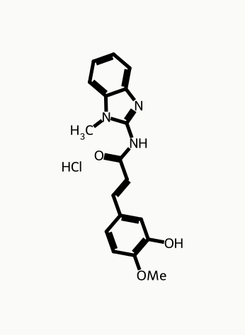 COc1ccc(C=CC(=O)Nc2nc3ccccc3n2C)cc1O.Cl